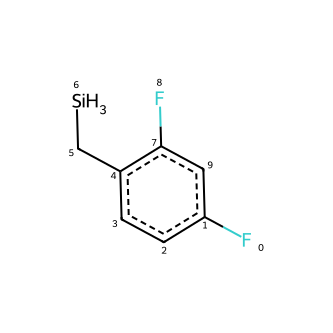 Fc1ccc(C[SiH3])c(F)c1